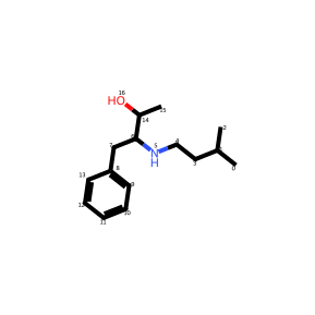 CC(C)CCN[C](Cc1ccccc1)C(C)O